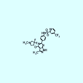 Cc1n[nH]c2nc(-c3ccc(NS(=O)(=O)c4cc(C(F)(F)F)ccn4)cc3)nc(O[C@@H]3CN(C)CC3(F)F)c12